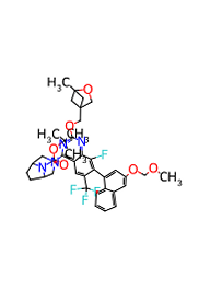 COCOc1cc(-c2c(C(F)(F)F)cc3c(N4CC5CCC(C4)N5C(=O)OC(C)(C)C)nc(OCC45COC(C)(C4)C5)nc3c2F)c2ccccc2c1